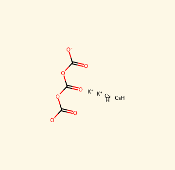 O=C([O-])OC(=O)OC(=O)[O-].[CsH].[CsH].[K+].[K+]